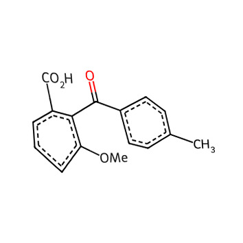 COc1cccc(C(=O)O)c1C(=O)c1ccc(C)cc1